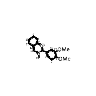 COc1ccc(C2N=c3ccccc3=CN2C)cc1OC